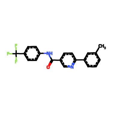 Cc1cccc(-c2ccc(C(=O)Nc3ccc(C(F)(F)F)cc3)cn2)c1